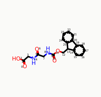 O=C(O)CNC(=O)CNC(=O)OCC1c2ccccc2-c2ccccc21